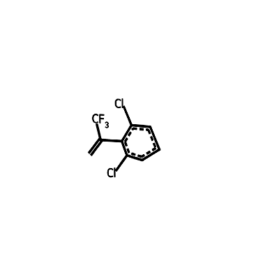 C=C(c1c(Cl)cccc1Cl)C(F)(F)F